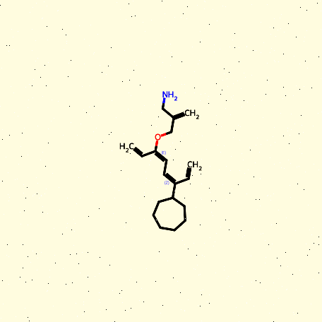 C=C/C(=C\C=C(/C=C)OCC(=C)CN)C1CCCCCC1